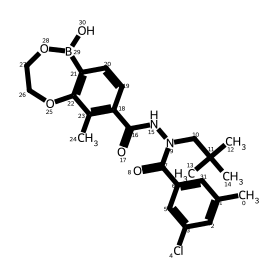 Cc1cc(Cl)cc(C(=O)N(CC(C)(C)C)NC(=O)c2ccc3c(c2C)OCCOB3O)c1